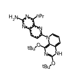 CCCc1nc(N)nc2ccc(N3C=CC=C4NC(OC(C)(C)C)=NC(OC(C)(C)C)=C43)nc12